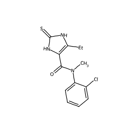 CCc1[nH]c(=S)[nH]c1C(=O)N(C)c1ccccc1Cl